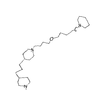 CN1CCC(CCCC2CCN(CCCCOCCCCCN3CCCCC3)CC2)CC1